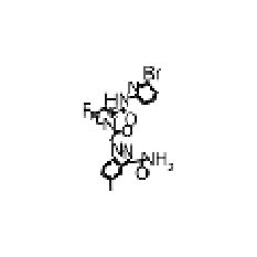 Cc1ccc2c(c1)c(C(N)=O)nn2CC(=O)N1C[C@H](F)C[C@H]1C(=O)Nc1cccc(Br)n1